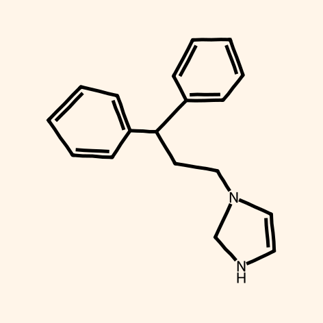 C1=CN(CCC(c2ccccc2)c2ccccc2)CN1